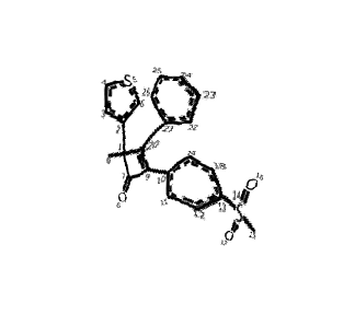 CC1(c2ccsc2)C(=O)C(c2ccc(S(C)(=O)=O)cc2)=C1c1ccccc1